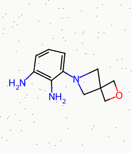 Nc1cccc(N2CC3(COC3)C2)c1N